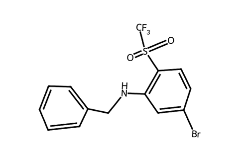 O=S(=O)(c1ccc(Br)cc1NCc1ccccc1)C(F)(F)F